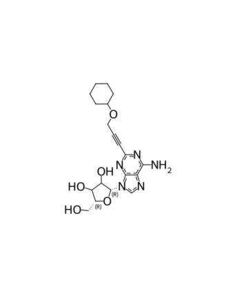 Nc1nc(C#CCOC2CCCCC2)nc2c1ncn2[C@@H]1O[C@H](CO)C(O)C1O